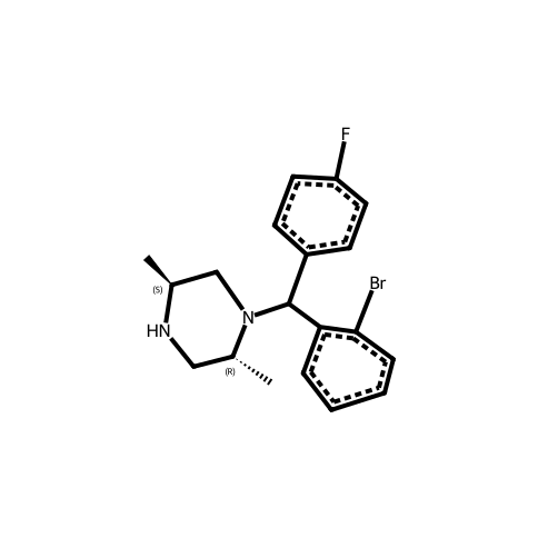 C[C@@H]1CN[C@@H](C)CN1C(c1ccc(F)cc1)c1ccccc1Br